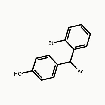 CCc1ccccc1C(C(C)=O)c1ccc(O)cc1